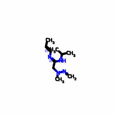 C=NN(C)C/C(=N/C=C/C)NC(C)C